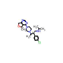 C=C([C@@H](CNC(C)C)c1ccc(Cl)cc1)N1CCN(c2ncnc3c2[C@H](C)OC3)CC1